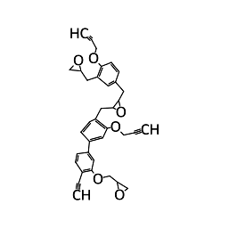 C#CCOc1ccc(CC2OC2Cc2ccc(-c3ccc(C#C)c(OCC4CO4)c3)cc2OCC#C)cc1CC1CO1